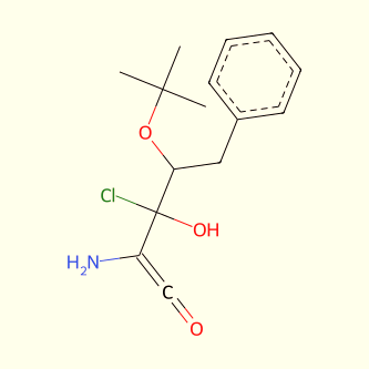 CC(C)(C)OC(Cc1ccccc1)C(O)(Cl)C(N)=C=O